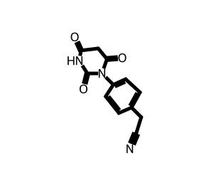 N#CCc1ccc(N2C(=O)CC(=O)NC2=O)cc1